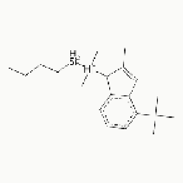 CCCC[SiH2][Hf]([CH3])([CH3])[CH]1C(C)=Cc2c1cccc2C(C)(C)C